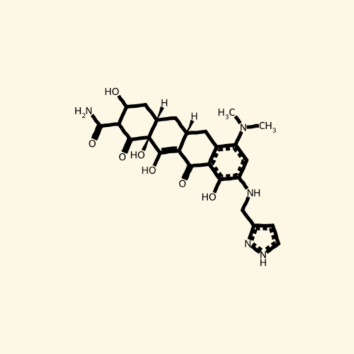 CN(C)c1cc(NCc2cc[nH]n2)c(O)c2c1C[C@H]1C[C@H]3CC(O)C(C(N)=O)C(=O)[C@@]3(O)C(O)=C1C2=O